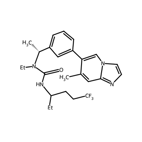 CCC(CCC(F)(F)F)NC(=O)N(CC)[C@H](C)c1cccc(-c2cn3ccnc3cc2C)c1